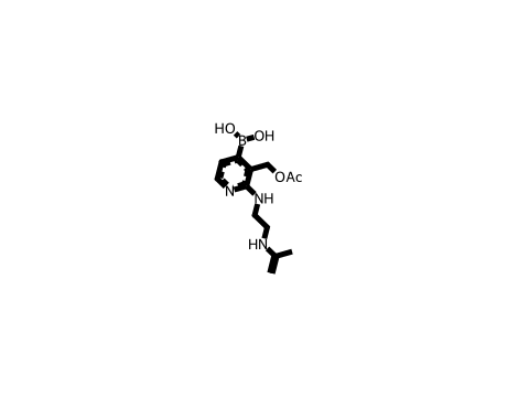 C=C(C)NCCNc1nccc(B(O)O)c1COC(C)=O